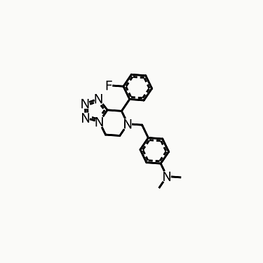 CN(C)c1ccc(CN2CCn3nnnc3C2c2ccccc2F)cc1